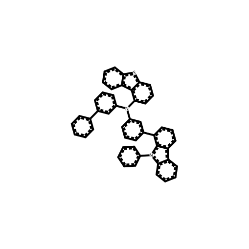 c1ccc(-c2cccc(N(c3cccc(-c4cccc5c6ccccc6n(-c6ccccc6)c45)c3)c3cccc4sc5ccccc5c34)c2)cc1